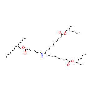 CCCCCCC(CCCC)COC(=O)CCCCCNC(CCCCCCCCC(=O)OCC(CC)CCCC)CCCCCCCCC(=O)OCC(CC)CCCC